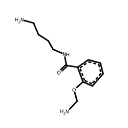 NCCCCNC(=O)c1ccccc1OCN